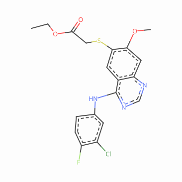 CCOC(=O)CSc1cc2c(Nc3ccc(F)c(Cl)c3)ncnc2cc1OC